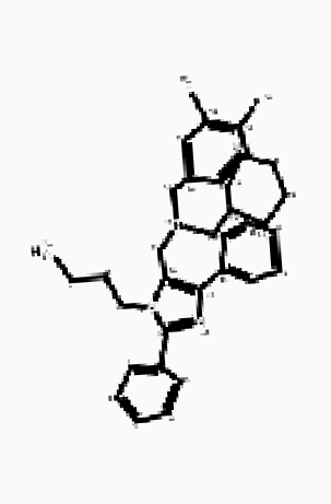 CCCCn1c(-c2ccccc2)nc(-c2ccccc2)c1CN(Cc1ccc(F)c(F)c1)CC1CCCCC1